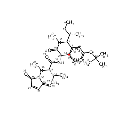 CC[C@H](C)[C@@H]([C@@H](CC(=O)OC(C)(C)C)OC)N(C)C(=O)[C@@H](NC(=O)[C@H](C(C)C)N(C)N1C(=O)C=CC1=O)C(C)C